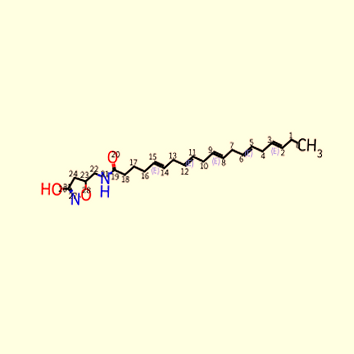 CC/C=C/C/C=C/C/C=C/C/C=C/C/C=C/CCCC(=O)NCC1CC(O)=NO1